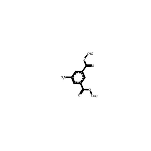 O=COC(=O)c1cc(C(=O)OC=O)cc([N+](=O)[O-])c1